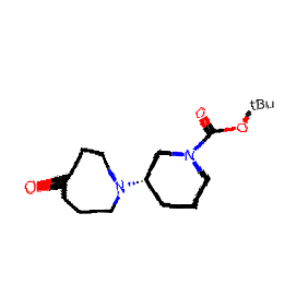 CC(C)(C)OC(=O)N1CCC[C@H](N2CCC(=O)CC2)C1